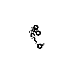 C[N+]1(CCCSc2cccc(F)c2)CC[C@@H](C(C(N)=O)(c2ccccc2)c2ccccc2)C1